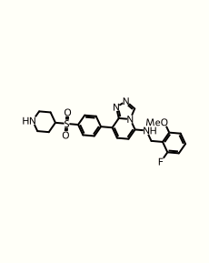 COc1cccc(F)c1CNc1ccc(-c2ccc(S(=O)(=O)C3CCNCC3)cc2)c2nncn12